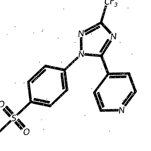 CS(=O)(=O)c1ccc(-n2nc(C(F)(F)F)nc2-c2ccncc2)cc1